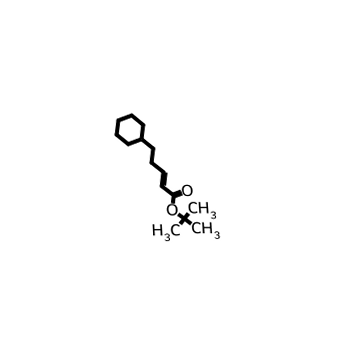 CC(C)(C)OC(=O)C=CCCC1CCCCC1